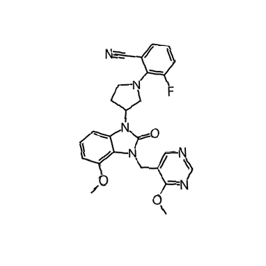 COc1ncncc1Cn1c(=O)n(C2CCN(c3c(F)cccc3C#N)C2)c2cccc(OC)c21